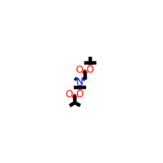 CC(C)C(=O)OC(C)(C)N(C)CC(=O)OC(C)(C)C